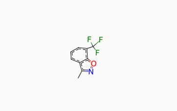 Cc1noc2c(C(F)(F)F)cccc12